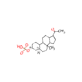 CC(=O)C1CCC2C1CCC1C3CC[C@@H](OS(=O)(=O)O)C[C@@H]3CCC21C